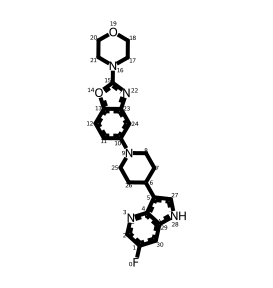 Fc1cnc2c(C3CCN(c4ccc5oc(N6CCOCC6)nc5c4)CC3)c[nH]c2c1